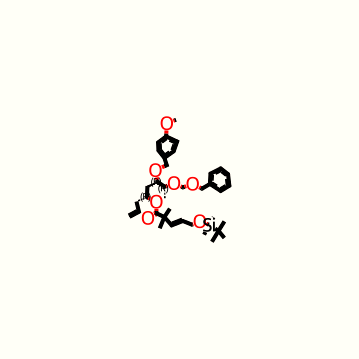 C=CC[C@H](C[C@@H](OCc1ccc(OC)cc1)[C@@H](C)OCOCc1ccccc1)OC(=O)C(C)(C)C=CCO[Si](C)(C)C(C)(C)C